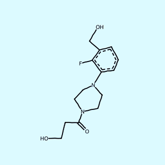 O=C(CCO)N1CCN(c2cccc(CO)c2F)CC1